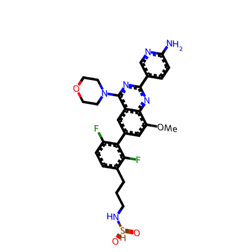 COc1cc(-c2c(F)ccc(CCCN[SH](=O)=O)c2F)cc2c(N3CCOCC3)nc(-c3ccc(N)nc3)nc12